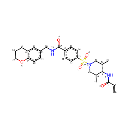 C=CC(=O)NC1C(C)CN(S(=O)(=O)c2ccc(C(=O)NCc3ccc4c(c3)CCCO4)cc2)CC1C